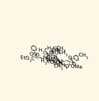 C=C(CN(C)/C=C/C=C(/C(=O)OCC)S(=O)(=O)c1ccccc1)[Si](C)(O[Si](C)(C)O[Si](C)(C)C)O[Si](C)(/C=C/CN(C)/C=C/C=C(\C(=O)OC)S(=O)(=O)c1ccc(C)cc1)O[Si](C)(C)C